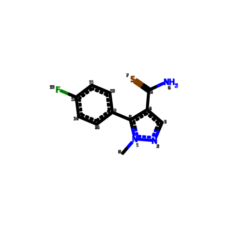 Cn1ncc(C(N)=S)c1-c1ccc(F)cc1